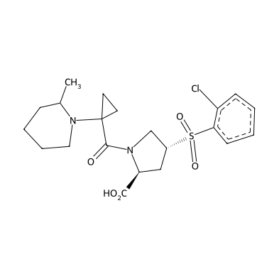 CC1CCCCN1C1(C(=O)N2C[C@H](S(=O)(=O)c3ccccc3Cl)C[C@H]2C(=O)O)CC1